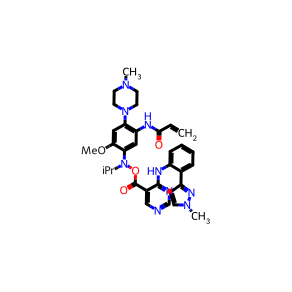 C=CC(=O)Nc1cc(N(OC(=O)c2cncnc2Nc2ccccc2-c2ccn(C)n2)C(C)C)c(OC)cc1N1CCN(C)CC1